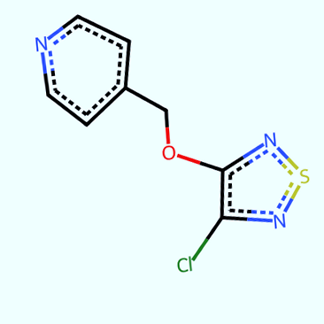 Clc1nsnc1OCc1ccncc1